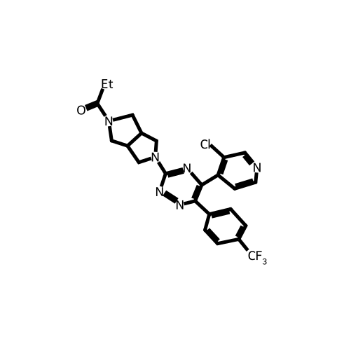 CCC(=O)N1CC2CN(c3nnc(-c4ccc(C(F)(F)F)cc4)c(-c4ccncc4Cl)n3)CC2C1